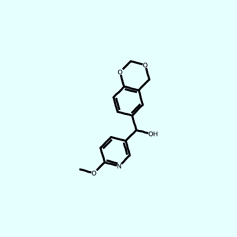 COc1ccc(C(O)c2ccc3c(c2)COCO3)cn1